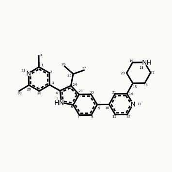 Cc1cc(-c2[nH]c3ccc(-c4ccnc(C5CCNCC5)c4)cc3c2C(C)C)cc(C)n1